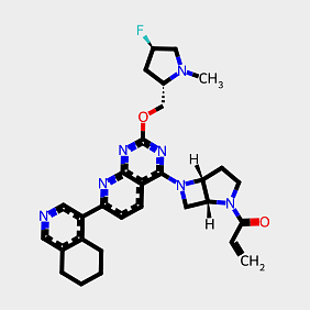 C=CC(=O)N1CC[C@@H]2[C@H]1CN2c1nc(OC[C@@H]2C[C@@H](F)CN2C)nc2nc(-c3cncc4c3CCCC4)ccc12